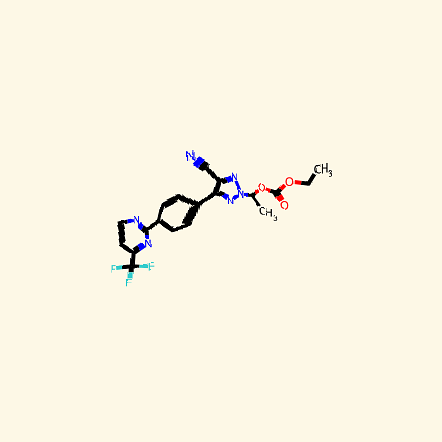 CCOC(=O)OC(C)n1nc(C#N)c(-c2ccc(-c3nccc(C(F)(F)F)n3)cc2)n1